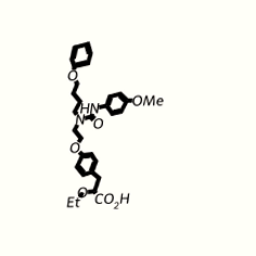 CCOC(Cc1ccc(OCCN(CCCCOc2ccccc2)C(=O)Nc2ccc(OC)cc2)cc1)C(=O)O